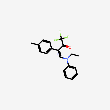 CCN(/C=C(\C(=O)C(F)(F)F)c1ccc(C)cc1)c1ccccc1